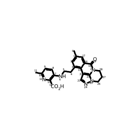 Cc1cc(CCNc2ccc(C)nc2C(=O)O)c2c(c1)c(=O)n1c3c2cnn3CCC1